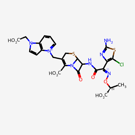 C[C@H](O/N=C(\C(=O)NC1C(=O)N2C(C(=O)O)=C(C[n+]3cccc4c3ccn4CC(=O)O)CSC12)c1nc(N)sc1Cl)C(=O)O